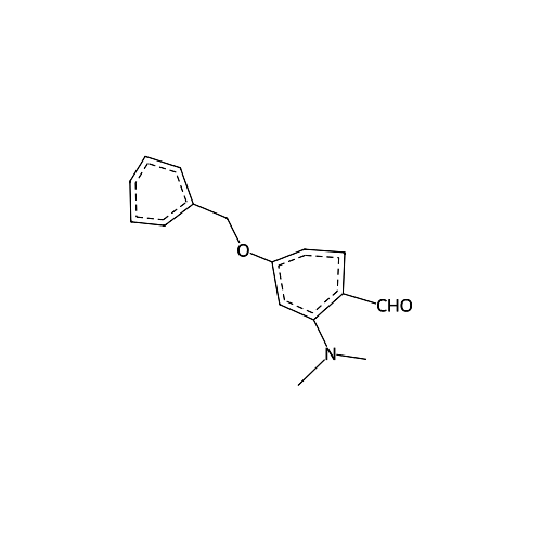 CN(C)c1cc(OCc2ccccc2)ccc1C=O